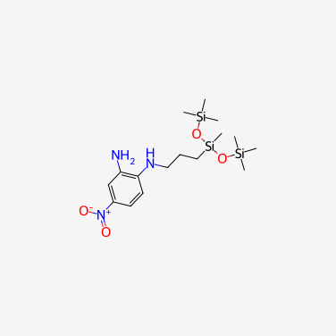 C[Si](C)(C)O[Si](C)(CCCNc1ccc([N+](=O)[O-])cc1N)O[Si](C)(C)C